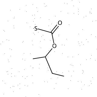 CCC(C)OC(=O)[S]